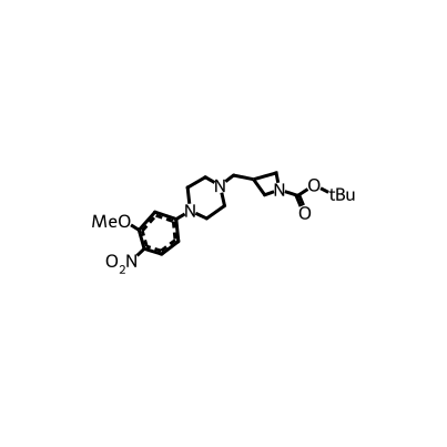 COc1cc(N2CCN(CC3CN(C(=O)OC(C)(C)C)C3)CC2)ccc1[N+](=O)[O-]